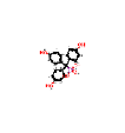 O=P(O)(O)C(c1ccc(O)cc1)(c1ccc(O)cc1)c1ccc(O)cc1